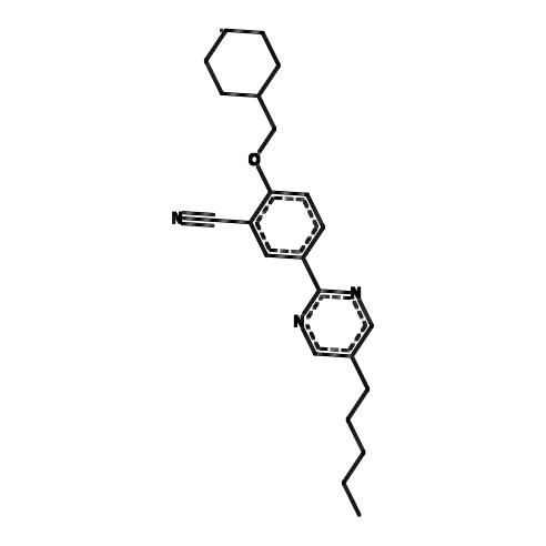 CCCCCc1cnc(-c2ccc(OCC3CC[CH]CC3)c(C#N)c2)nc1